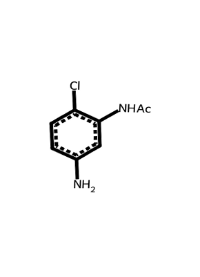 CC(=O)Nc1cc(N)ccc1Cl